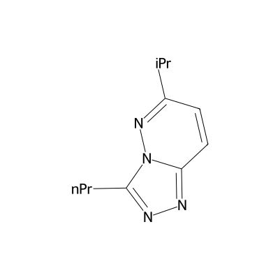 CCCc1nnc2ccc(C(C)C)nn12